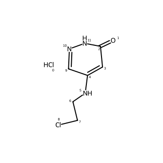 Cl.O=c1cc(NCCCl)cn[nH]1